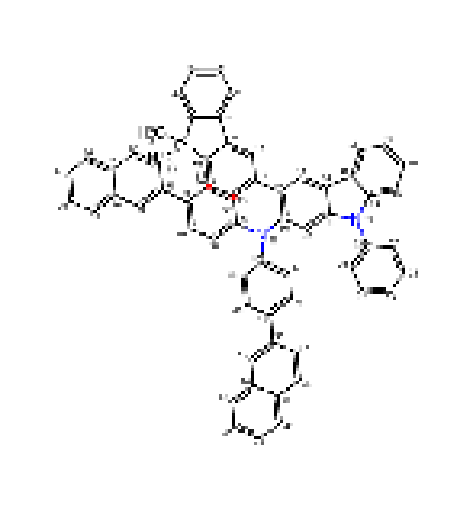 C[Si]1(C)c2ccccc2-c2cc(-c3cc4c5ccccc5n(-c5ccccc5)c4cc3N(c3ccc(-c4ccc5ccccc5c4)cc3)c3ccc(-c4ccc5ccccc5c4)cc3)ccc21